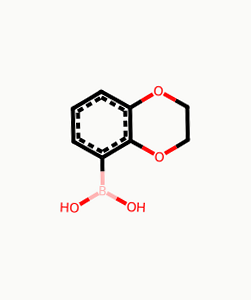 OB(O)c1cccc2c1OCCO2